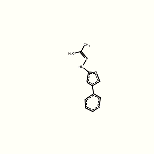 CC(C)=NNc1nc(-c2cccnc2)cs1